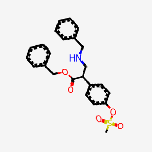 CS(=O)(=O)Oc1ccc(C(CNCc2ccccc2)C(=O)OCc2ccccc2)cc1